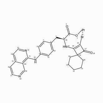 CC(C)OC(=O)[C@H](Cc1ccc(Nc2nccc3ccncc23)cc1)NC1=C(Br)C(=O)C12CCCCC2